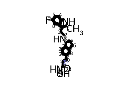 Cc1[nH]c2ccc(F)cc2c1CCNC1CCc2cc(/C=C/C(=O)NO)ccc21